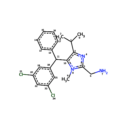 CC(C)c1nc(CN)n(C)c1C(c1ccccc1)c1cc(Cl)cc(Cl)c1